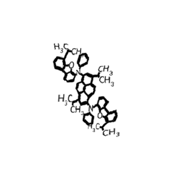 CC(C)c1cc(N(c2ccccc2)c2cccc3c2oc2c(C(C)C)cccc23)c2ccc3c(C(C)C)cc(N(c4ccccc4)c4cccc5c4oc4c(C(C)C)cccc45)c4ccc1c2c34